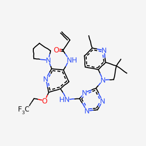 C=CC(=O)Nc1cc(Nc2ncnc(N3CC(C)(C)c4nc(C)ccc43)n2)c(OCC(F)(F)F)nc1N1CCCC1